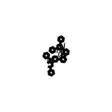 C/C(=C\c1c(C)n(-c2ccccc2)c2ccc(-c3cccc4c3oc3c(-c5nc(-c6ccccc6)cc(-c6ccccc6)n5)cccc34)cc12)c1ccccc1